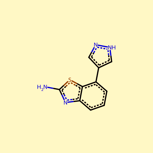 Nc1nc2cccc(-c3cn[nH]c3)c2s1